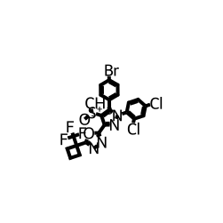 C[S+]([O-])c1c(-c2nnc(C3(C(F)(F)F)CCC3)o2)nn(-c2ccc(Cl)cc2Cl)c1-c1ccc(Br)cc1